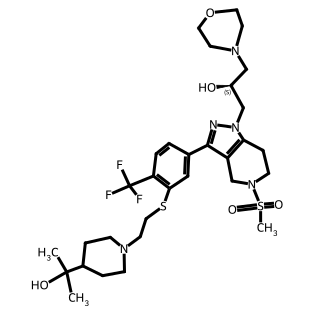 CC(C)(O)C1CCN(CCSc2cc(-c3nn(C[C@@H](O)CN4CCOCC4)c4c3CN(S(C)(=O)=O)CC4)ccc2C(F)(F)F)CC1